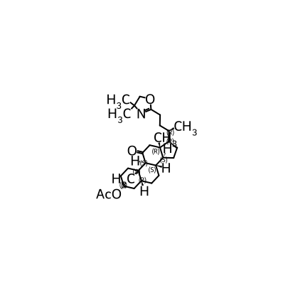 CC(=O)O[C@@H]1CC[C@@]2(C)[C@H](CC[C@H]3[C@@H]4CC[C@H]([C@H](C)CCC5=NC(C)(C)CO5)[C@@]4(C)CC(=O)[C@@H]32)C1